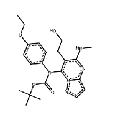 CCOc1ccc(N(C(=O)OC(C)(C)C)c2c(CCO)c(NC)nc3ccnn23)cc1